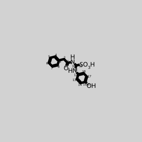 O=C(Cc1ccccc1)NC(Nc1ccc(O)cc1)S(=O)(=O)O